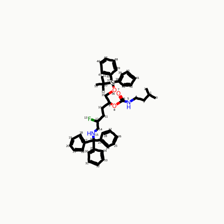 CC(C)CCNC(=O)OC(CCC(F)CNC(c1ccccc1)(c1ccccc1)c1ccccc1)CO[Si](c1ccccc1)(c1ccccc1)C(C)(C)C